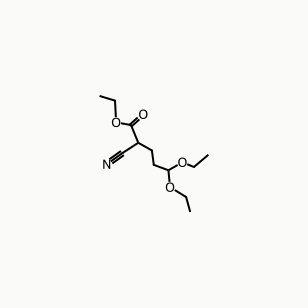 CCOC(=O)C(C#N)CCC(OCC)OCC